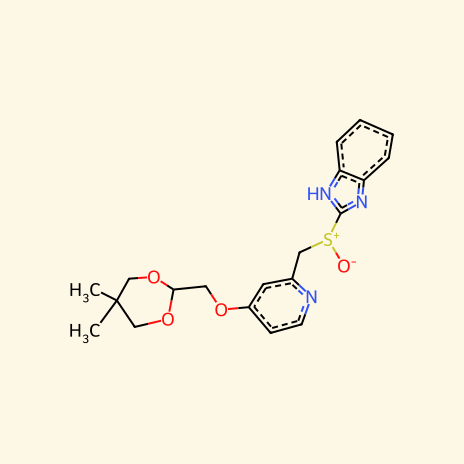 CC1(C)COC(COc2ccnc(C[S+]([O-])c3nc4ccccc4[nH]3)c2)OC1